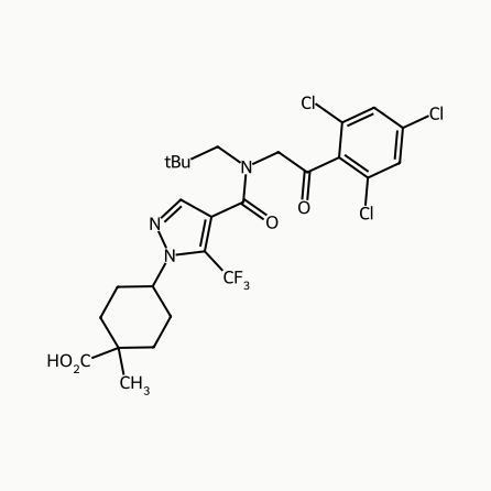 CC(C)(C)CN(CC(=O)c1c(Cl)cc(Cl)cc1Cl)C(=O)c1cnn(C2CCC(C)(C(=O)O)CC2)c1C(F)(F)F